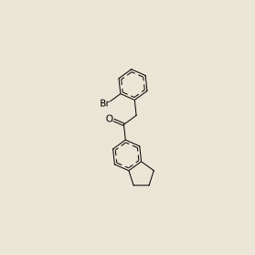 O=C(Cc1ccccc1Br)c1ccc2c(c1)CCC2